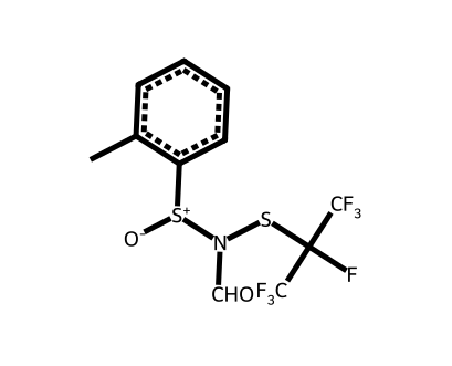 Cc1ccccc1[S+]([O-])N(C=O)SC(F)(C(F)(F)F)C(F)(F)F